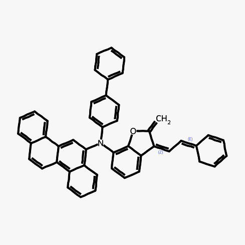 C=c1oc2c(N(c3ccc(-c4ccccc4)cc3)c3cc4c5ccccc5ccc4c4ccccc34)cccc2/c1=C/C=C1/C=CC=CC1